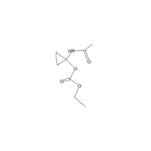 CCOC(=O)OC1(NC(C)=O)CC1